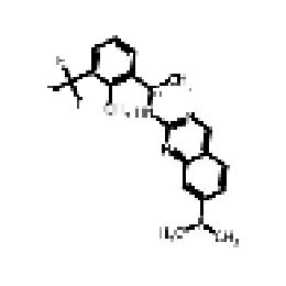 Cc1c([C@@H](C)Nc2ncc3ccc(P(C)C)cc3n2)cccc1C(F)(F)F